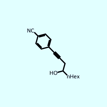 CCCCCCC(O)CC#Cc1ccc(C#N)cc1